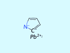 [Pb+2].[c-]1ccc[n-]1